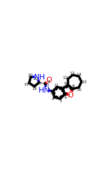 O=C(Nc1ccc2oc3c(c2c1)CCCCC3)[C@@H]1CCCN1